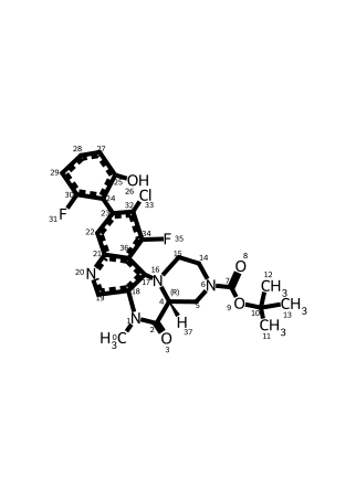 CN1C(=O)[C@H]2CN(C(=O)OC(C)(C)C)CCN2c2c1cnc1cc(-c3c(O)cccc3F)c(Cl)c(F)c21